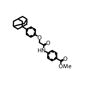 COC(=O)c1ccc(NC(=O)COc2ccc(C34CC5CC(CC(C5)C3)C4)cc2)cc1